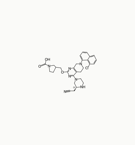 N#CC[C@H]1CN(c2nc(OCC3CCN(C(=O)O)C3)nc3c2CCN(c2cccc4cccc(Cl)c24)C3)CCN1